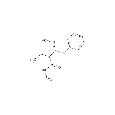 CCC(C(=O)NC)C(=NO)Sc1ccccc1